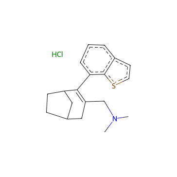 CN(C)CC1=C(c2cccc3ccsc23)C2CCC(C1)C2.Cl